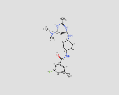 Cc1nc(NC2CCC(NC(=O)c3cc(F)cc(C(F)(F)F)c3)CC2)cc(N(C)C)n1